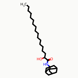 CCCCCCCCCCCCCCCCC(O)C(=O)NC12CC3CC(CC(C3)C1)C2